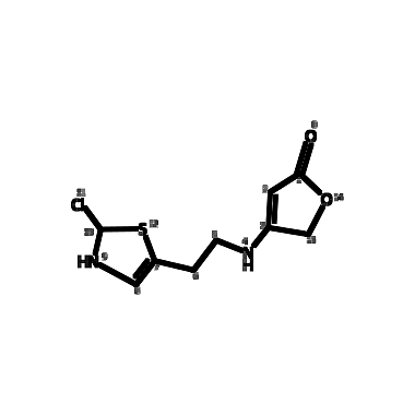 O=C1C=C(NCCC2=CNC(Cl)S2)CO1